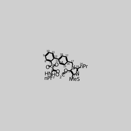 CCCNC(=O)S(=O)(=O)c1ccccc1-c1ccc(Cn2c(CCC)nc(SC)c2OC(=O)O)cc1